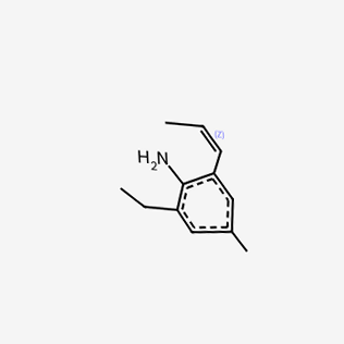 C/C=C\c1cc(C)cc(CC)c1N